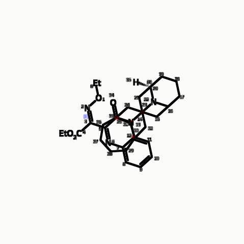 CCO/N=C(/C(=O)OCC)c1nc2ccccc2n(C2CC3CCC[C@H](C2)N3C2CC3CCCCC(C3)C2)c1=O